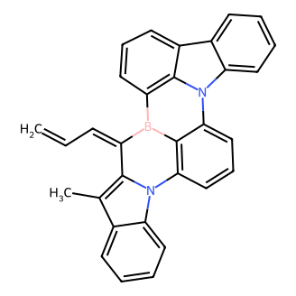 C=C/C=C1/B2c3c(cccc3-n3c4ccccc4c4cccc2c43)-n2c1c(C)c1ccccc12